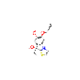 C#CCOc1ccc(C(CC)(OC)c2nccs2)cc1OC